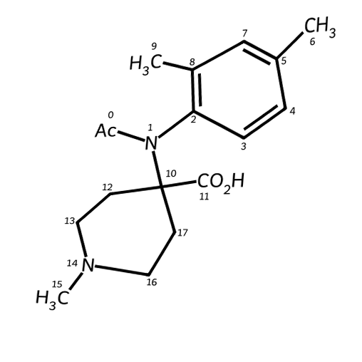 CC(=O)N(c1ccc(C)cc1C)C1(C(=O)O)CCN(C)CC1